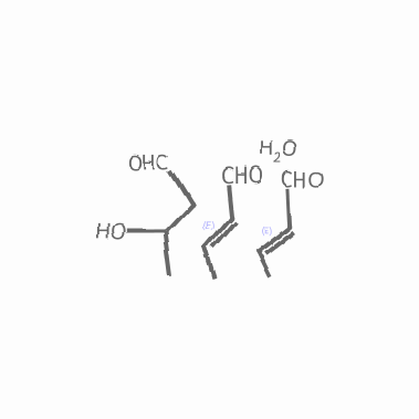 C/C=C/C=O.C/C=C/C=O.CC(O)CC=O.O